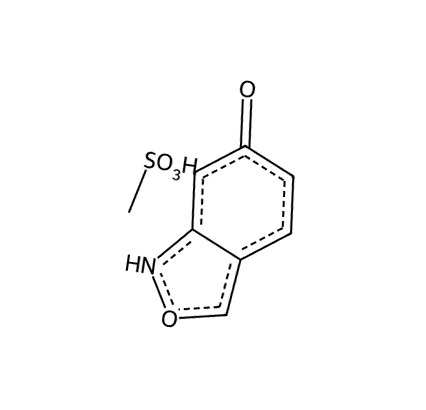 CS(=O)(=O)O.O=c1ccc2co[nH]c-2c1